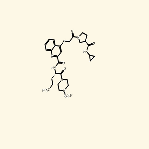 CCOC(=O)N1CCN(C(=O)[C@H](CCC(=O)O)NC(=O)c2cc(OCC(=O)N3CC[C@@H](C(=O)NC4CC4)C3)c3ccccc3n2)CC1